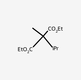 CCOC(=O)C(C)(C(=O)OCC)C(C)C